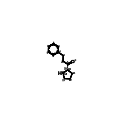 O=C(CCc1ccccc1)[C@@H]1CCCN1